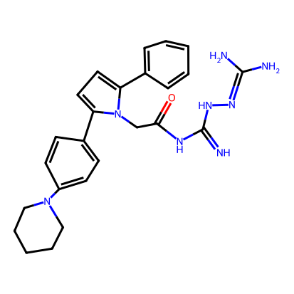 N=C(NN=C(N)N)NC(=O)Cn1c(-c2ccccc2)ccc1-c1ccc(N2CCCCC2)cc1